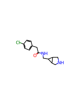 O=C(Cc1ccc(Cl)cc1)NCC1C2CNCC21